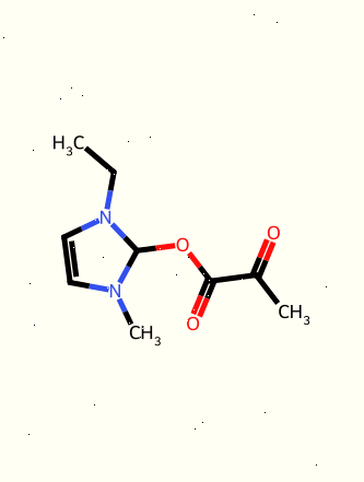 CCN1C=CN(C)C1OC(=O)C(C)=O